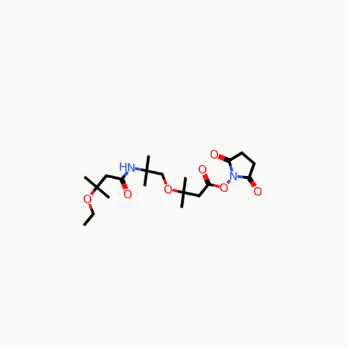 CCOC(C)(C)CC(=O)NC(C)(C)COC(C)(C)CC(=O)ON1C(=O)CCC1=O